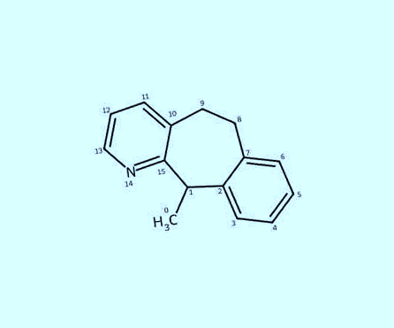 CC1c2ccccc2CCc2cccnc21